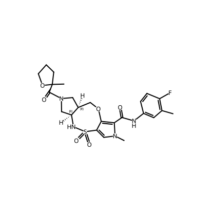 Cc1cc(NC(=O)c2c3c(cn2C)S(=O)(=O)N[C@H]2CN(C(=O)C4(C)CCCO4)C[C@H]2CO3)ccc1F